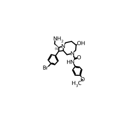 COc1ccc(NC(=O)N2CC(O)CCN3C(C2)C(c2ccc(Br)cc2)[C@H]3CN)cc1